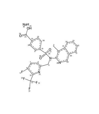 Cc1c(N(Cc2ccc(F)c(C(F)(F)F)n2)S(=O)(=O)c2ccc(C(=O)O)cc2)ncc2ccccc12.[NaH]